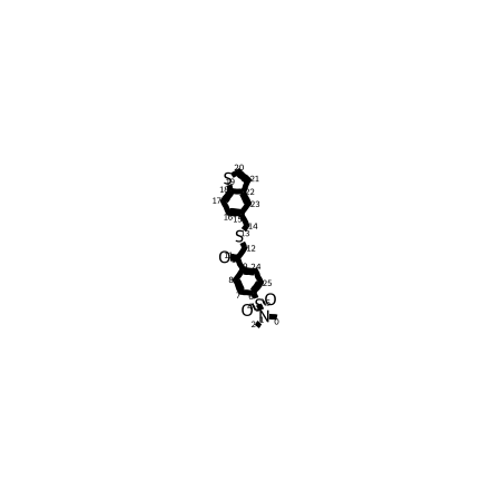 CN(C)S(=O)(=O)c1ccc(C(=O)CSCc2ccc3sccc3c2)cc1